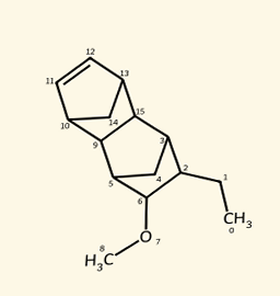 CCC1C2CC(C1OC)C1C3C=CC(C3)C21